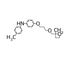 Cc1ccc(Nc2ccc(OCCCOCC3(C)CCO3)cc2)cc1